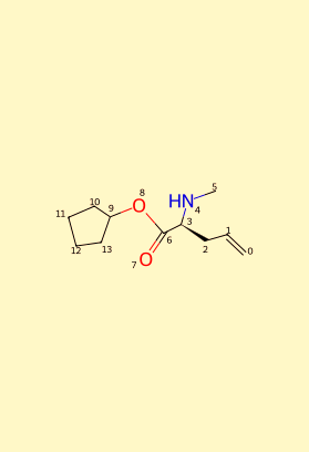 C=CC[C@H](NC)C(=O)OC1CCCC1